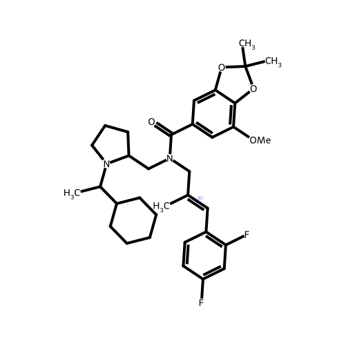 COc1cc(C(=O)N(C/C(C)=C/c2ccc(F)cc2F)CC2CCCN2C(C)C2CCCCC2)cc2c1OC(C)(C)O2